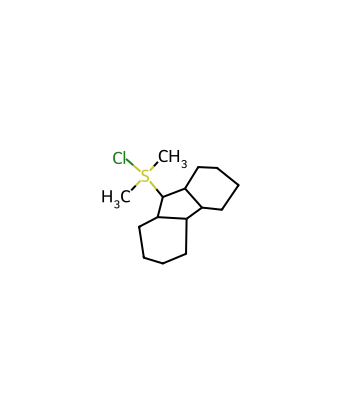 CS(C)(Cl)C1C2CCCCC2C2CCCCC21